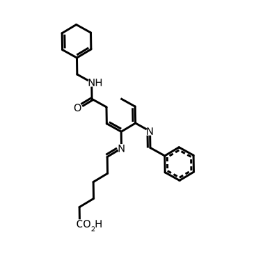 C/C=C(/N=C/c1ccccc1)C(=C/CC(=O)NCC1=CCCC=C1)\N=C\CCCCC(=O)O